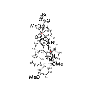 COc1ccc(CN(Cc2ccc(OC)cc2)S(=O)(=O)c2c(S(=O)(=O)C3CN(C(=O)OC(C)(C)C)C3)ccc(C3=CCOCC3)c2-c2nnn(Cc3ccc(OC)cc3)n2)cc1